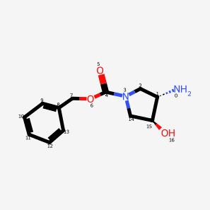 N[C@H]1CN(C(=O)OCc2ccccc2)C[C@@H]1O